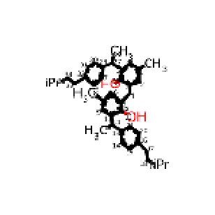 Cc1cc(Cc2cc(C)cc(C(C)c3ccc(CCC(C)C)cc3)c2O)c(O)c(C(C)c2ccc(CCC(C)C)cc2)c1